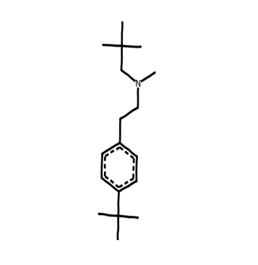 CN(CCc1ccc(C(C)(C)C)cc1)CC(C)(C)C